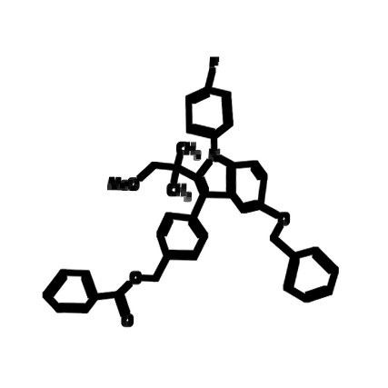 COCC(C)(C)c1c(-c2ccc(COC(=O)c3ccccc3)cc2)c2cc(OCc3ccccc3)ccc2n1-c1ccc(F)cc1